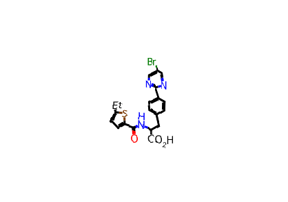 CCc1ccc(C(=O)NC(Cc2ccc(-c3ncc(Br)cn3)cc2)C(=O)O)s1